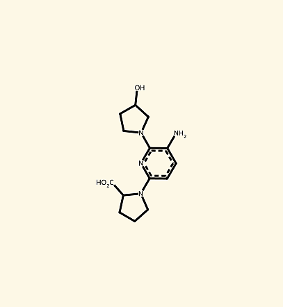 Nc1ccc(N2CCCC2C(=O)O)nc1N1CCC(O)C1